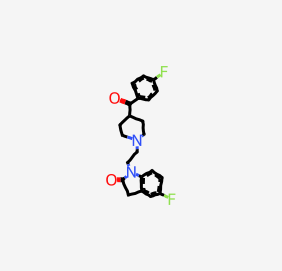 O=C(c1ccc(F)cc1)C1CCN(CCN2C(=O)Cc3cc(F)ccc32)CC1